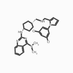 CN(C)c1nc(N[C@H]2CC[C@@H](CNCc3cccn3-c3cc(Cl)cc(Cl)c3)CC2)nc2ccccc12